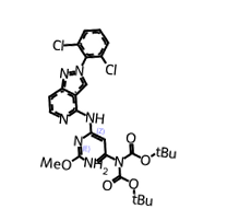 C=C(/C=C(\N=C(/N)OC)Nc1nccc2nn(-c3c(Cl)cccc3Cl)cc12)N(C(=O)OC(C)(C)C)C(=O)OC(C)(C)C